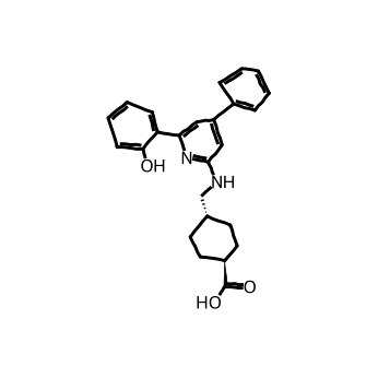 O=C(O)[C@H]1CC[C@H](CNc2cc(-c3ccccc3)cc(-c3ccccc3O)n2)CC1